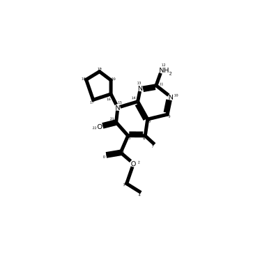 C=C(OCC)c1c(C)c2cnc(N)nc2n(C2CCCC2)c1=O